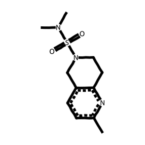 Cc1ccc2c(n1)CCN(S(=O)(=O)N(C)C)C2